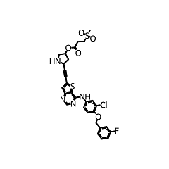 CS(=O)(=O)CCC(=O)OC1CNC(C#Cc2cc3ncnc(Nc4ccc(OCc5cccc(F)c5)c(Cl)c4)c3s2)C1